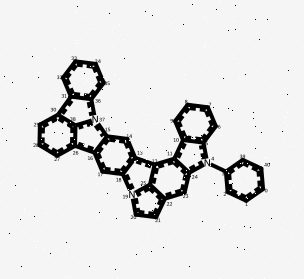 c1ccc(-n2c3ccccc3c3c4c5cc6c(cc5n5ccc(cc32)c45)c2cccc3c4ccccc4n6c32)cc1